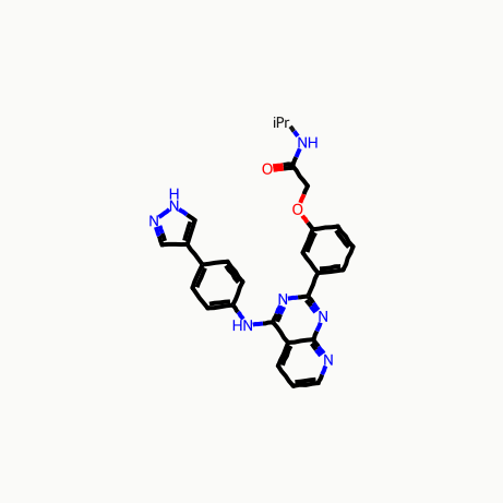 CC(C)NC(=O)COc1cccc(-c2nc(Nc3ccc(-c4cn[nH]c4)cc3)c3cccnc3n2)c1